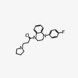 O=C(CCN1CCCC1)N1CCN(c2ccc(F)cc2)c2ccccc21